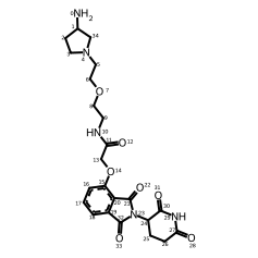 NC1CCN(CCOCCNC(=O)COc2cccc3c2C(=O)N(C2CCC(=O)NC2=O)C3=O)C1